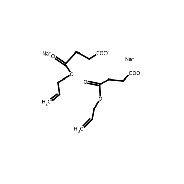 C=CCOC(=O)CCC(=O)[O-].C=CCOC(=O)CCC(=O)[O-].[Na+].[Na+]